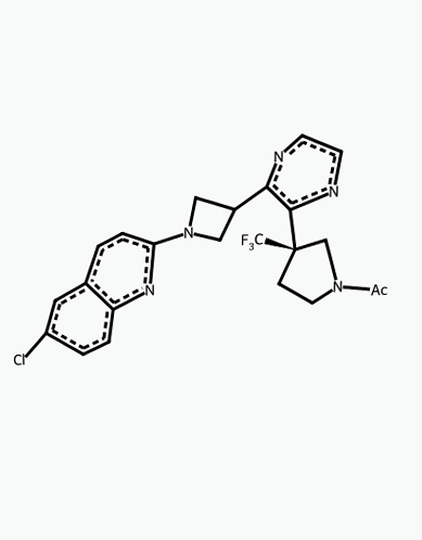 CC(=O)N1CC[C@@](c2nccnc2C2CN(c3ccc4cc(Cl)ccc4n3)C2)(C(F)(F)F)C1